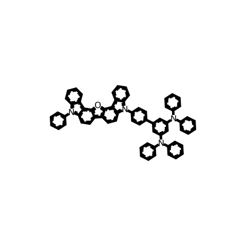 c1ccc(N(c2ccccc2)c2cc(-c3ccc(-n4c5ccccc5c5c6oc7c(ccc8c7c7ccccc7n8-c7ccccc7)c6ccc54)cc3)cc(N(c3ccccc3)c3ccccc3)c2)cc1